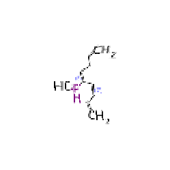 C#[PH]C(/C=C\C=C)=C/CC=C